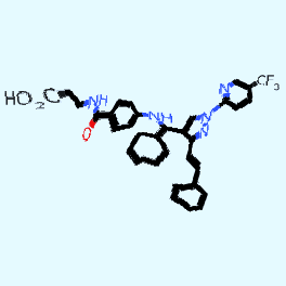 O=C(O)CCNC(=O)c1ccc(NC(c2cn(-c3ccc(C(F)(F)F)cn3)nc2C=Cc2ccccc2)C2CCCCC2)cc1